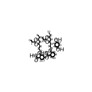 C=CC(=O)OC(CCCC)CCCOc1ccccc1C(=O)O.C=CC(=O)OC(CCCC)CCCOc1ccccc1C(=O)O.Oc1ccc(O)cc1